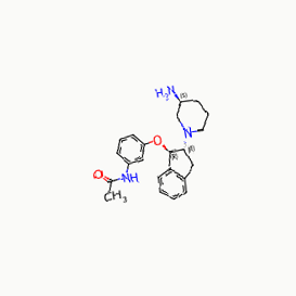 CC(=O)Nc1cccc(O[C@@H]2c3ccccc3C[C@H]2N2CCC[C@H](N)C2)c1